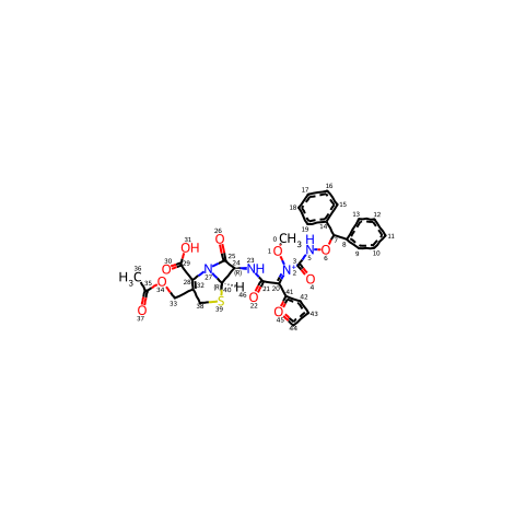 CO[N+](C(=O)NOC(c1ccccc1)c1ccccc1)=C(C(=O)N[C@@H]1C(=O)N2C(C(=O)O)=C(COC(C)=O)CS[C@H]12)c1ccco1